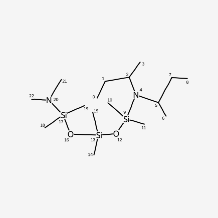 CCC(C)N(C(C)CC)[Si](C)(C)O[Si](C)(C)O[Si](C)(C)N(C)C